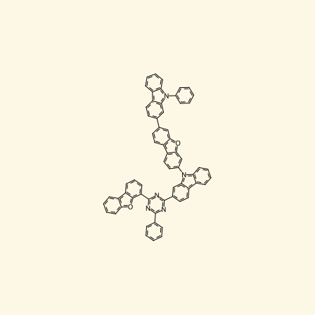 c1ccc(-c2nc(-c3ccc4c5ccccc5n(-c5ccc6c(c5)oc5cc(-c7ccc8c9ccccc9n(-c9ccccc9)c8c7)ccc56)c4c3)nc(-c3cccc4c3oc3ccccc34)n2)cc1